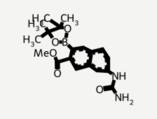 COC(=O)c1cc2cc(NC(N)=O)ccc2cc1B1OC(C)(C)C(C)(C)O1